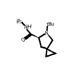 CC(C)NC(=O)[C@@H]1CC2(CC2)CN1C(C)(C)C